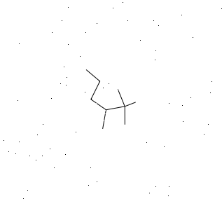 CCCC(C)C(C)(C)C